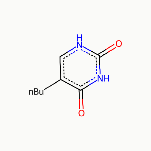 CCCCc1c[nH]c(=O)[nH]c1=O